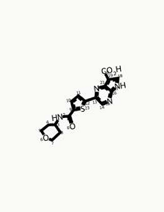 O=C(NC1CCOCC1)c1ccc(-c2cnc3[nH]cc(C(=O)O)c3n2)s1